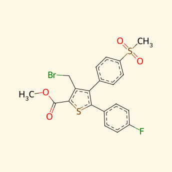 COC(=O)c1sc(-c2ccc(F)cc2)c(-c2ccc(S(C)(=O)=O)cc2)c1CBr